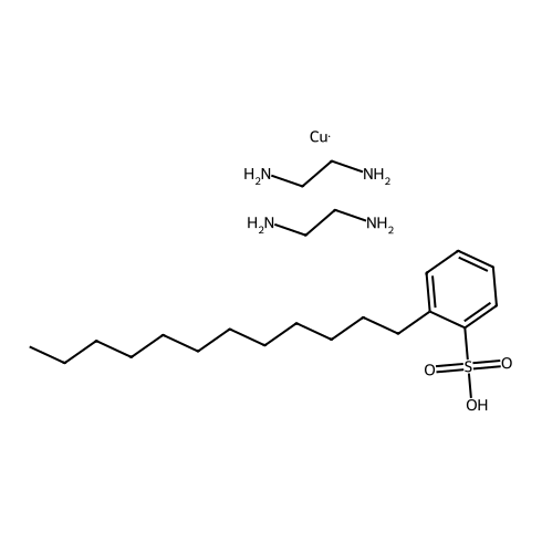 CCCCCCCCCCCCc1ccccc1S(=O)(=O)O.NCCN.NCCN.[Cu]